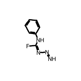 N=N/N=C(/F)Nc1ccccc1